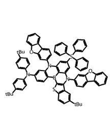 CC(C)(C)c1ccc(N(c2ccc(C(C)(C)C)cc2)c2ccc3c(c2)N(c2ccc4c(c2)oc2ccccc24)c2cc(S(c4ccccc4)(c4ccccc4)c4ccccc4)cc4c2B3c2sc3ccc(C(C)(C)C)cc3c2N4c2ccc3c(c2)oc2ccccc23)cc1